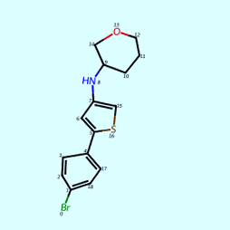 Brc1ccc(-c2cc(NC3CCCOC3)cs2)cc1